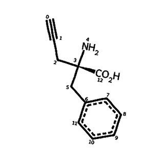 C#CC[C@](N)(Cc1ccccc1)C(=O)O